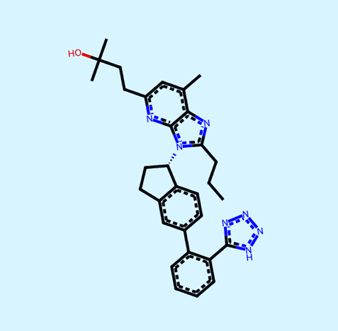 CCCc1nc2c(C)cc(CCC(C)(C)O)nc2n1[C@H]1CCc2cc(-c3ccccc3-c3nnn[nH]3)ccc21